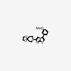 COc1cccc(-c2csc3nc(N4CCC5(CC4)OCCO5)cn23)c1